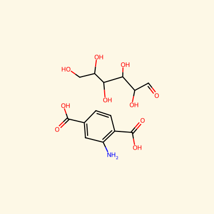 Nc1cc(C(=O)O)ccc1C(=O)O.O=CC(O)C(O)C(O)C(O)CO